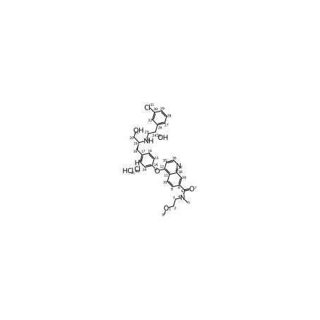 COCCN(C)C(=O)c1ccc2c(Oc3ccc(C[C@@H](CO)NC[C@@H](O)c4cccc(Cl)c4)cc3)ccnc2c1.Cl.Cl